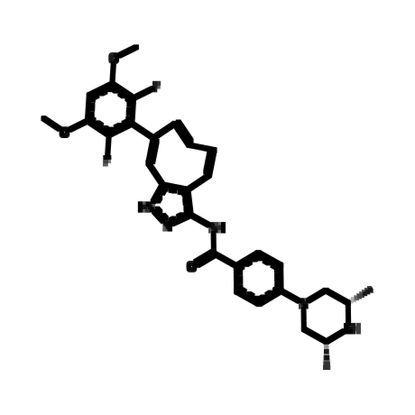 COc1cc(OC)c(F)c(C2=C\c3[nH]nc(NC(=O)c4ccc(N5C[C@@H](C)N[C@@H](C)C5)cc4)c3\C=C/C=C/2)c1F